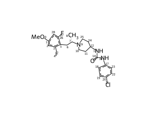 COc1cc(F)c(C[C@H](C)N2CCC(NC(=O)Nc3ccc(Cl)cc3)CC2)c(F)c1